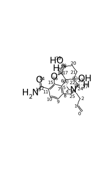 C=CCN1CC[C@]23c4c5ccc(C(N)=O)c4O[C@H]2[C@H](O)CC[C@@]3(O)[C@H]1C5